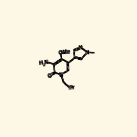 COc1c(-c2cnn(C)c2)cn(CC(C)C)c(=O)c1N